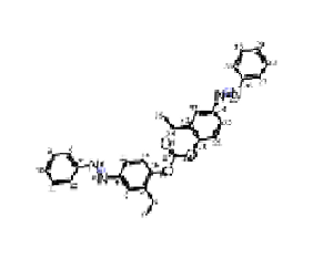 CCc1cc(/N=N/c2ccccc2)ccc1OC(=O)Oc1ccc(/N=N/c2ccccc2)cc1CC